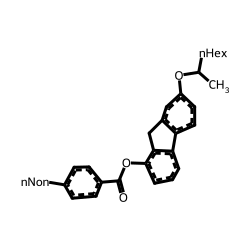 CCCCCCCCCc1ccc(C(=O)Oc2cccc3c2Cc2cc(OC(C)CCCCCC)ccc2-3)cc1